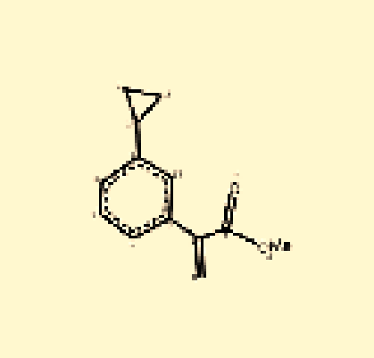 C=C(C(=O)OC)c1cccc(C2CC2)c1